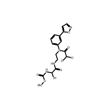 CC(C)C(NC(=O)OC(C)(C)C)C(=O)NCCN(C(=O)C(Cl)Cl)c1cccc(-c2ccno2)c1